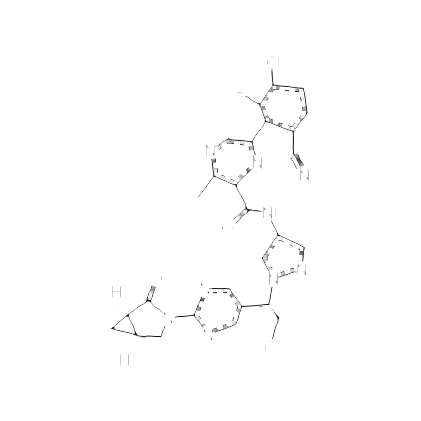 Cc1ncc(-c2c(C#N)ccc(Cl)c2F)nc1C(=O)Nc1cnn([C@@H](CO)c2cnc(N3C[C@H]4C[C@H]4C3=O)nc2)c1